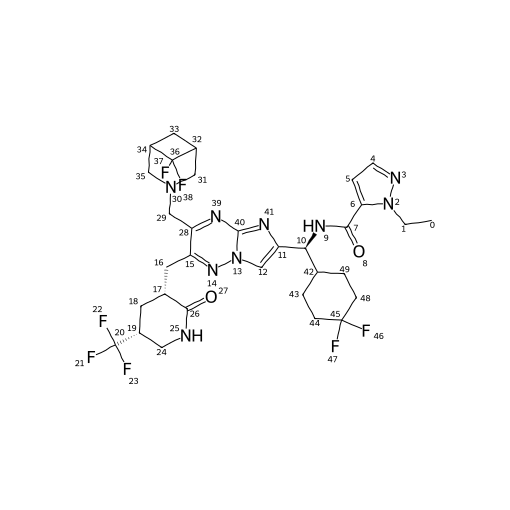 CCn1nccc1C(=O)N[C@H](c1cn2nc(C[C@H]3C[C@@H](C(F)(F)F)CNC3=O)c(CN3CC4CC(C3)C4(F)F)nc2n1)C1CCC(F)(F)CC1